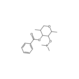 CC1COC(C)C(OP(C)C)C1OC(=O)c1ccccc1